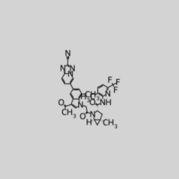 CC(=O)c1cn(CC(=O)N2[C@H](C(=O)Nc3nc(C(F)(F)F)ccc3C)C[C@@]3(C)C[C@@H]23)c2c(C)cc(-c3ccc4nc(C#N)nn4c3)cc12